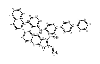 C=Cc1oc2cc3ccccc3c(N(c3ccc(-c4ccc(-c5ccccc5)cc4)cc3)c3cccc(-c4cccc5ccccc45)c3)c2c1C=N